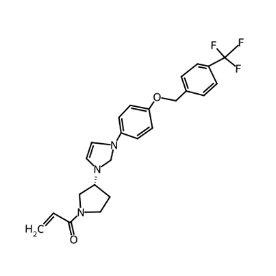 C=CC(=O)N1CC[C@@H](N2C=CN(c3ccc(OCc4ccc(C(F)(F)F)cc4)cc3)C2)C1